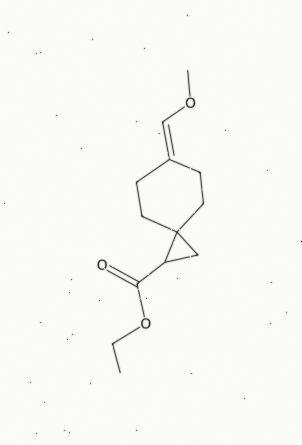 CCOC(=O)C1CC12CCC(=COC)CC2